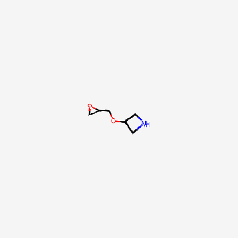 C1NCC1OCC1CO1